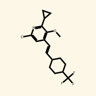 COc1c(/C=C/C2CCC(C(F)(F)F)CC2)cc(Cl)nc1C1CC1